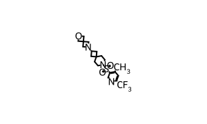 Cc1cc(C(F)(F)F)ncc1S(=O)(=O)N1CCC2(CC1)CC(N1CC3(COC3)C1)C2